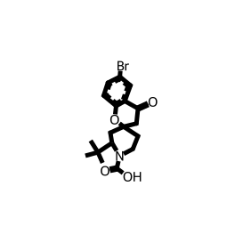 CC(C)(C)C1CC2(CCN1C(=O)O)CC(=O)c1cc(Br)ccc1O2